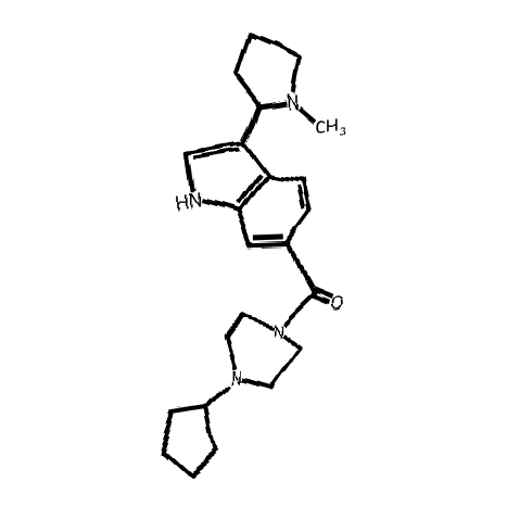 CN1CCCC1c1c[nH]c2cc(C(=O)N3CCN(C4CCCC4)CC3)ccc12